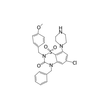 COc1ccc(CN2C(=O)N(Cc3ccccc3)c3cc(Cl)cc(N4CCNCC4)c3S2(=O)=O)cc1